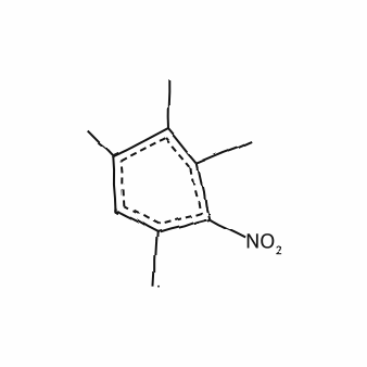 [CH2]c1cc(C)c(C)c(C)c1[N+](=O)[O-]